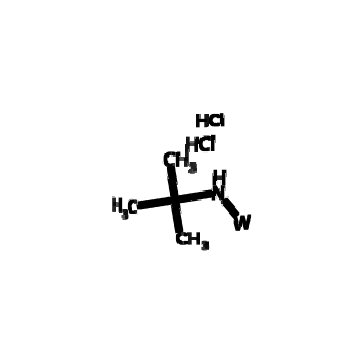 CC(C)(C)[NH][W].Cl.Cl